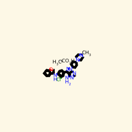 CC(=O)O.CN1CCN(C2CCC(n3nc(-c4ccc(NC5COc6ccccc65)c(Cl)c4)c4c(N)ncnc43)CC2)CC1